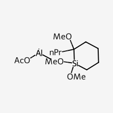 CCCC1(OC)CCCC[Si]1(OC)OC.[CH3][Al][O]C(C)=O